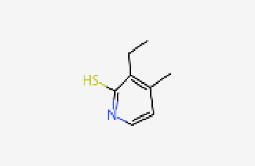 CCc1c(C)ccnc1S